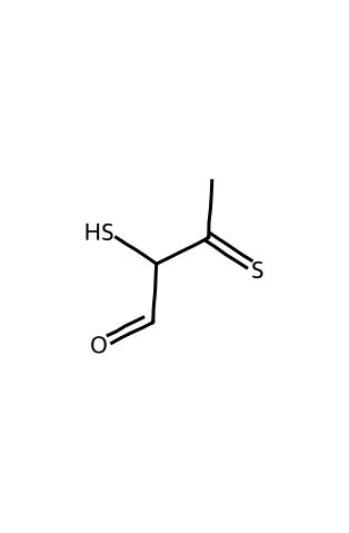 CC(=S)C(S)C=O